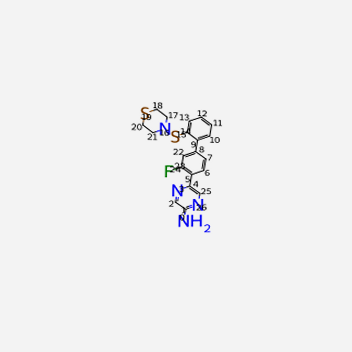 Nc1cnc(-c2ccc(-c3ccccc3SN3CCSCC3)cc2F)cn1